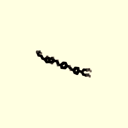 CCCCc1cc2sc(N=Nc3ccc(N=Nc4ccc(N(CC)CC)cc4)cc3)nc2s1